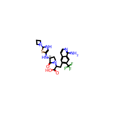 Nc1nccc2cc(CC(C(=O)O)N3CC[C@H](NC4=CNC(N5CCC5)S4)C3=O)c(C(F)(F)F)cc12